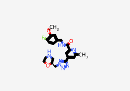 COc1cc(CNC(=O)c2cc(-c3nnn(C[C@@H]4CNCCO4)n3)cc(C)n2)ccc1F